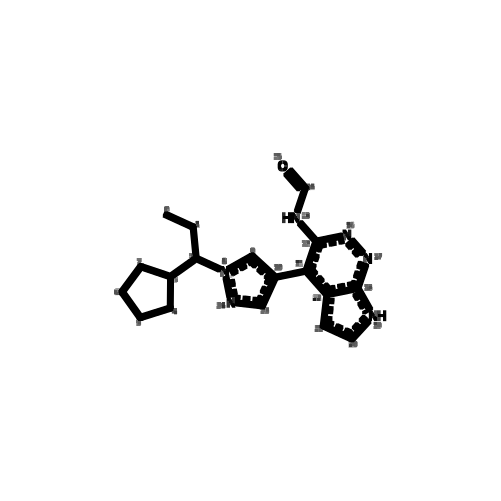 CCC(C1CCCC1)n1cc(-c2c(NC=O)nnc3[nH]ccc23)cn1